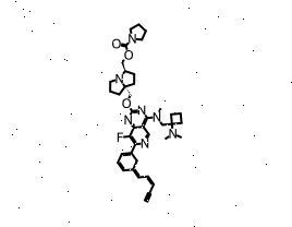 C#C/C=C\C=C1\C=CC=C(c2ncc3c(N(C)CC4(N(C)C)CCC4)nc(OC[C@]45CCCN4[C@@H](COC(=O)N4CCCC4)CC5)nc3c2F)C1